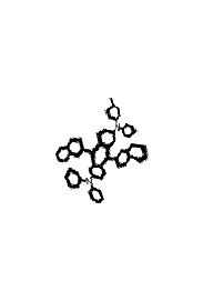 CC1C=CC(N(c2ccccc2)c2ccc3c(-c4ccc5ccccc5c4)c4cc(N(c5ccccc5)c5ccccc5)ccc4c(-c4ccc5ccccc5c4)c3c2)=CC1